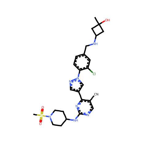 CC1(O)CC(NCc2ccc(-n3cc(-c4nc(NC5CCN(S(C)(=O)=O)CC5)ncc4C#N)cn3)c(Cl)c2)C1